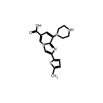 Cc1ccc(-c2cn3cc(C(=O)O)cc(N4CCNCC4)c3n2)s1